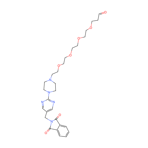 O=CCCOCCOCCOCCOCCN1CCN(c2ncc(CN3C(=O)c4ccccc4C3=O)cn2)CC1